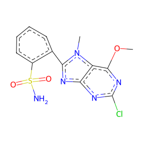 COc1nc(Cl)nc2nc(-c3ccccc3S(N)(=O)=O)n(C)c12